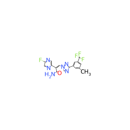 Cc1cc(-c2ncn(/C=C(\C(N)=O)c3cnc(F)cn3)n2)cc(C(F)(F)F)c1